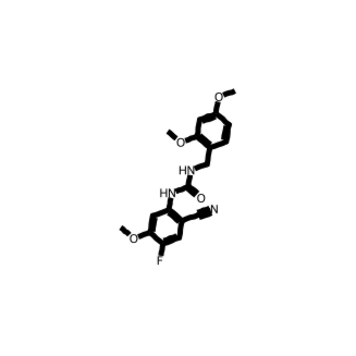 COc1ccc(CNC(=O)Nc2cc(OC)c(F)cc2C#N)c(OC)c1